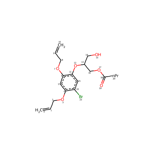 C=CCOc1cc(OCC=C)c(OC(CO)COC(=O)CCC)cc1Br